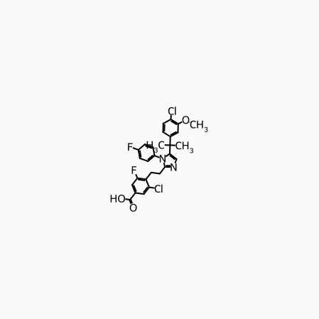 COc1cc(C(C)(C)c2cnc(CCc3c(F)cc(C(=O)O)cc3Cl)n2-c2ccc(F)cc2)ccc1Cl